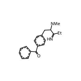 CCC(=N)C(Cc1ccc(C(=O)c2ccccc2)cc1)NC